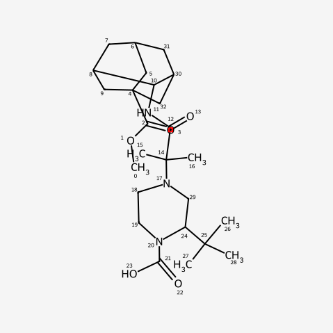 COC(=O)C12CC3CC(C1)C(NC(=O)C(C)(C)N1CCN(C(=O)O)C(C(C)(C)C)C1)C(C3)C2